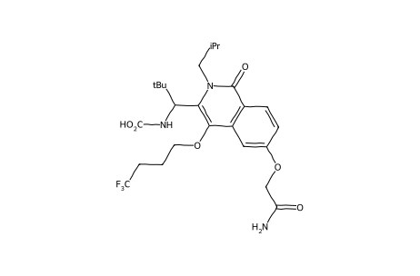 CC(C)Cn1c(C(NC(=O)O)C(C)(C)C)c(OCCCC(F)(F)F)c2cc(OCC(N)=O)ccc2c1=O